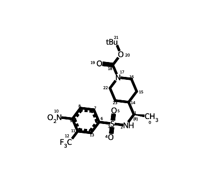 C[C@@H](NS(=O)(=O)c1ccc([N+](=O)[O-])c(C(F)(F)F)c1)C1CCN(C(=O)OC(C)(C)C)CC1